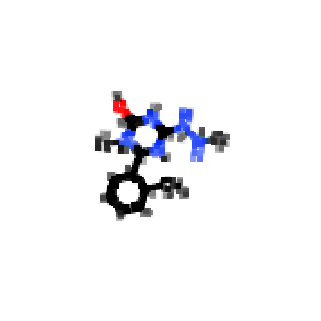 CCNNc1nc(-c2ccccc2C)n(CC)c(=O)n1